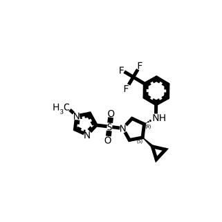 Cn1cnc(S(=O)(=O)N2C[C@H](Nc3cccc(C(F)(F)F)c3)[C@@H](C3CC3)C2)c1